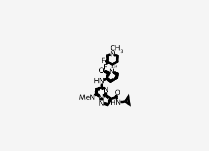 CNc1cc(Nc2cccn([C@H]3CCN(C)CC3(F)F)c2=O)nc2c(C(=O)NC3CC3)cnn12